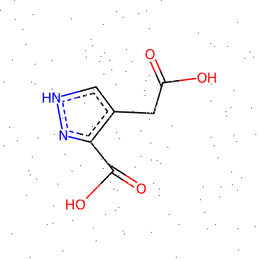 O=C(O)Cc1c[nH]nc1C(=O)O